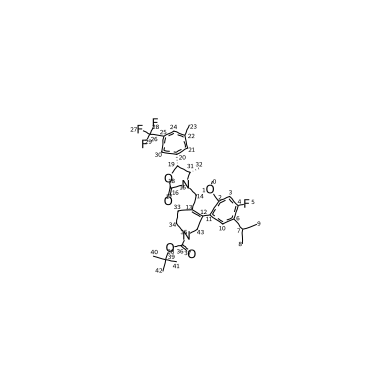 COc1cc(F)c(C(C)C)cc1C1=C(CN2C(=O)O[C@H](c3cc(C)cc(C(F)(F)F)c3)[C@@H]2C)CCN(C(=O)OC(C)(C)C)C1